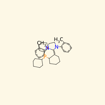 Cc1ccccc1N1CCN(c2ccccc2C)C1=C1CCCCC1P(C1CCCCC1)C1CCCCC1